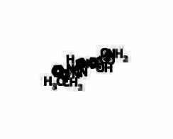 CC1(C)C[C@@H](Nc2ncnc3c2ccn3[C@@H]2C[C@@H](COS(N)(=O)=O)[C@@H](O)C2)c2ccccc21